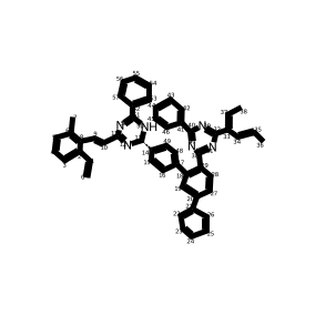 C=Cc1cccc(C)c1/C=C/C1=N[C@@H](c2ccc(-c3cc(-c4ccccc4)ccc3-c3nc(C(C=CC)=CC)nc(-c4ccccc4)n3)cc2)NC(c2ccccc2)=N1